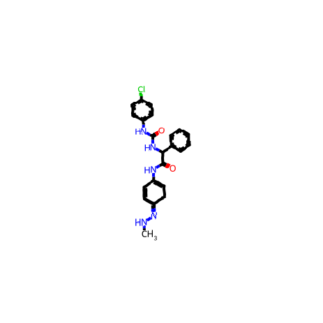 CNN=C1C=CC(NC(=O)C(NC(=O)Nc2ccc(Cl)cc2)c2ccccc2)=CC1